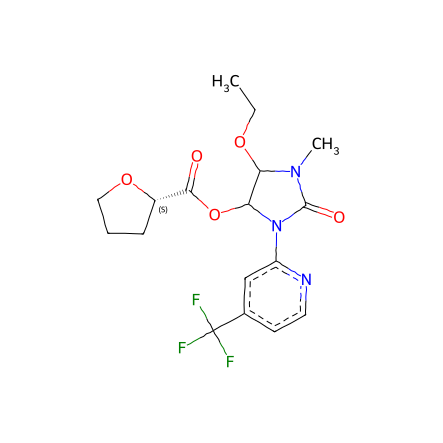 CCOC1C(OC(=O)[C@@H]2CCCO2)N(c2cc(C(F)(F)F)ccn2)C(=O)N1C